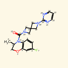 CC1COc2cc(F)ccc2N1C(=O)N1CC2(C1)CN(c1ncccn1)C2